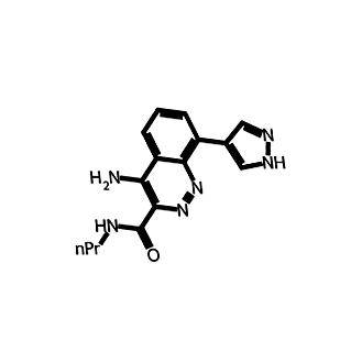 CCCNC(=O)c1nnc2c(-c3cn[nH]c3)cccc2c1N